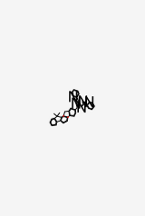 CC1(C)c2ccccc2-c2ccc3c(c21)Cc1cc(-c2nc(-c4ccccn4)nc(-c4ccccn4)n2)ccc1-3